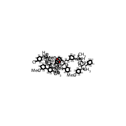 C/C=S(\NC(=O)N[C@@H](Cc1ccccc1)C(=O)N(C)c1ccc(OC)cc1)Nc1cccc(CCN(C(=O)[C@H](Cc2ccccc2)NC(=O)NS(=O)(=O)N(C)c2ccc(-c3cc(OC)ccc3N(C)C(=O)[C@H](Cc3ccccc3)NC(=O)NS(=O)(=O)Nc3ccc(Cl)cc3)cc2OC)c2ccc(OC)cc2)c1